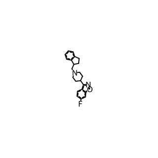 Fc1ccc2c(C3CCN(CC4CCc5ccccc54)CC3)noc2c1